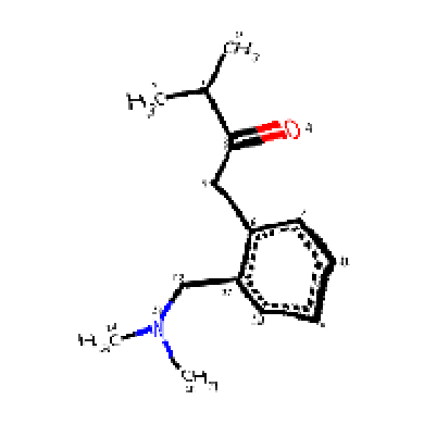 CC(C)C(=O)Cc1ccccc1CN(C)C